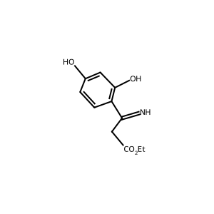 CCOC(=O)CC(=N)c1ccc(O)cc1O